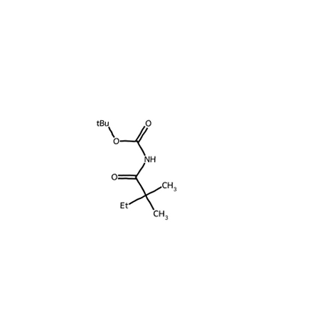 CCC(C)(C)C(=O)NC(=O)OC(C)(C)C